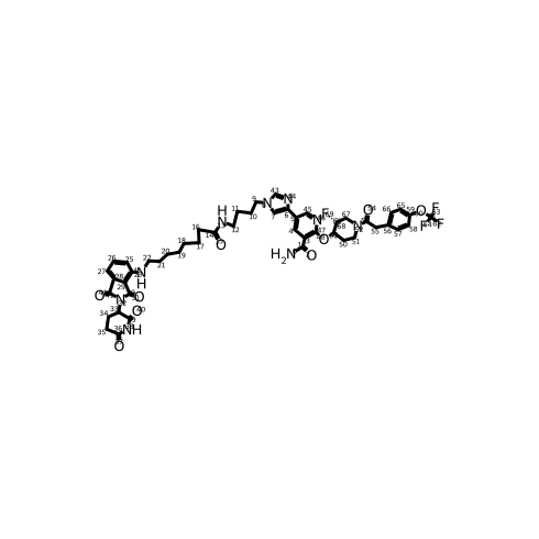 NC(=O)c1cc(-c2cn(CCCCNC(=O)CCCCCCCNc3cccc4c3C(=O)N(C3CCC(=O)NC3=O)C4=O)cn2)cnc1O[C@@H]1CCN(C(=O)Cc2ccc(OC(F)(F)F)cc2)C[C@H]1F